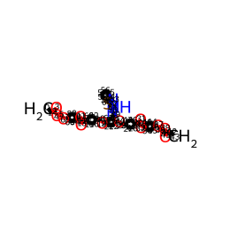 C=CC(=O)OCOc1ccc(OC(=O)C2CCC(COc3ccc(OCC4CCC(C(=O)Oc5ccc(OCOC(=O)C=C)cc5)CC4)c(/C=N/Nc4nc5ccccc5s4)c3)CC2)cc1